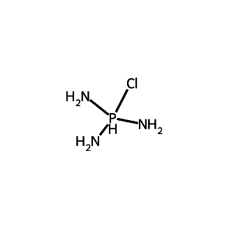 N[PH](N)(N)Cl